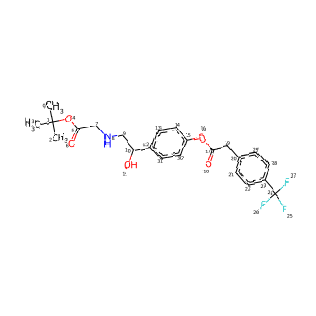 CC(C)(C)OC(=O)CNCC(O)c1ccc(OC(=O)Cc2ccc(C(F)(F)F)cc2)cc1